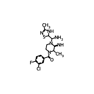 CC1=NSC(C(N)N2CCN(C(=O)c3ccc(F)c(Cl)c3)C(C)C2=N)N1